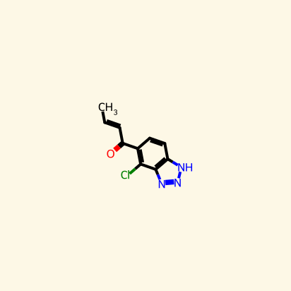 CC=CC(=O)c1ccc2[nH]nnc2c1Cl